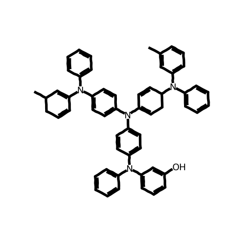 Cc1cccc(N(c2ccccc2)C2C=CC(N(c3ccc(N(C4=CC(C)CC=C4)c4ccccc4)cc3)c3ccc(N(c4ccccc4)c4cccc(O)c4)cc3)=CC2)c1